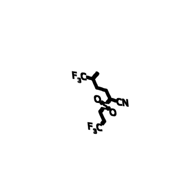 CC(CCC(C#N)S(=O)(=O)CCC(F)(F)F)C(F)(F)F